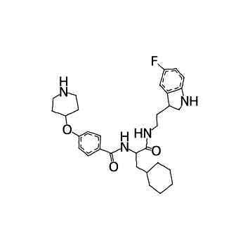 O=C(NC(CC1CCCCC1)C(=O)NCCC1CNc2ccc(F)cc21)c1ccc(OC2CCNCC2)cc1